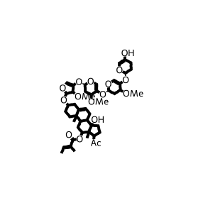 C/C=C(\C)C(=O)OC1CC2C(CC=C3CC(OC4OC=C(O[C@H]5CC(OC)C(O[C@H]6CC(OC)C(O[C@H]7CCC(O)=CO7)=CO6)=CO5)C4OC)CCC32C)C2(O)CCC(C(C)=O)C12C